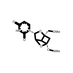 CNO[C@]12C[C@]3(COC)O[C@@H](n4ccc(=O)[nH]c4=O)C(O1)C32